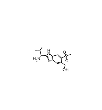 CC(C)[C@@H](N)c1nc2cc(CO)c(S(C)(=O)=O)cc2[nH]1